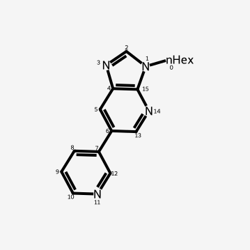 CCCCCCn1cnc2cc(-c3cccnc3)cnc21